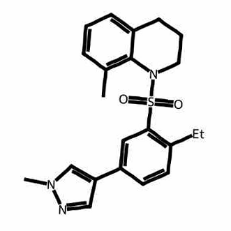 CCc1ccc(-c2cnn(C)c2)cc1S(=O)(=O)N1CCCc2cccc(C)c21